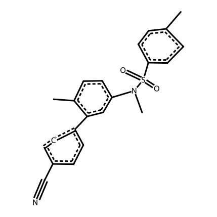 Cc1ccc(S(=O)(=O)N(C)c2ccc(C)c(-c3ccc(C#N)cc3)c2)cc1